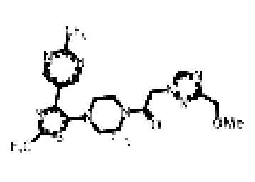 COCc1ncn(CC(=O)N2CCN(c3sc(C(F)(F)F)nc3-c3cnc(C(F)(F)F)nc3)C[C@H]2C)n1